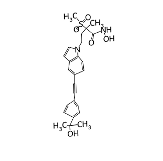 CC(C)(O)c1ccc(C#Cc2ccc3c(ccn3CCC(C)(C(=O)NO)S(C)(=O)=O)c2)cc1